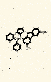 CC(C)(C)c1ccc2c(c1)-c1cc(C(C)(C)C)c[c]([Zr]([C]3=CC=CC3)=[Si](c3ccccc3)c3ccccc3)c1C2